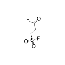 O=C(F)CCS(=O)(=O)F